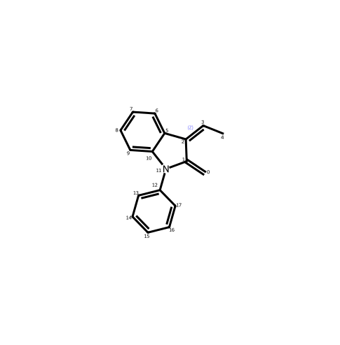 C=c1/c(=C\C)c2ccccc2n1-c1ccccc1